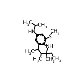 CCC1(C)Nc2c(SC)cc(NC(C)C)cc2C(C)C1C